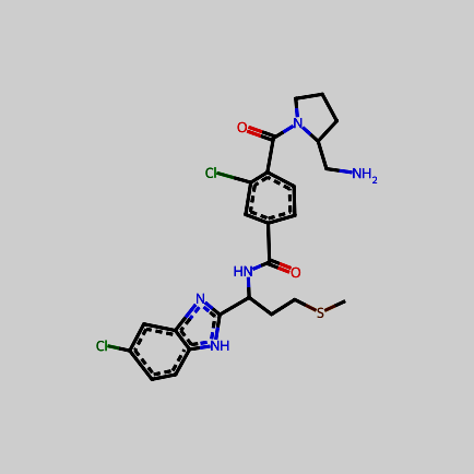 CSCCC(NC(=O)c1ccc(C(=O)N2CCCC2CN)c(Cl)c1)c1nc2cc(Cl)ccc2[nH]1